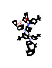 CC(C)(C)c1ccc2c(c1)B1c3ccc(N(c4ccccc4)c4ccc(C(C)(C)C)cc4-c4ccccc4)cc3N(c3ccc4c(c3)oc3ccccc34)c3cc(C(C)(C)C)cc(c31)N2c1ccc2c(c1)C(C)(C)c1ccccc1-2